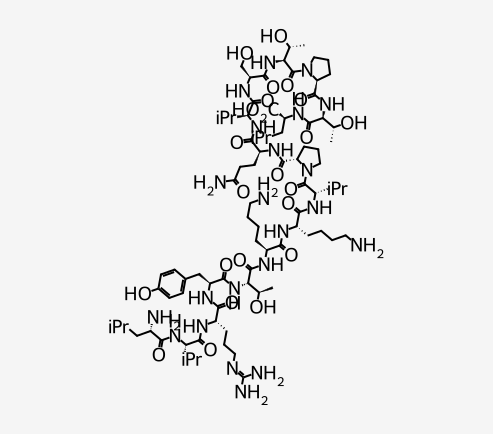 CC(C)C[C@H](NC(=O)[C@@H](NC(=O)[C@@H]1CCCN1C(=O)[C@@H](NC(=O)[C@H](CO)NC(=O)[C@@H](NC(=O)[C@H](CCC(N)=O)NC(=O)[C@@H]1CCCN1C(=O)[C@@H](NC(=O)[C@H](CCCCN)NC(=O)[C@H](CCCCN)NC(=O)[C@@H](NC(=O)[C@H](Cc1ccc(O)cc1)NC(=O)[C@H](CCCN=C(N)N)NC(=O)[C@@H](NC(=O)[C@@H](N)CC(C)C)C(C)C)[C@@H](C)O)C(C)C)C(C)C)[C@@H](C)O)[C@@H](C)O)C(=O)O